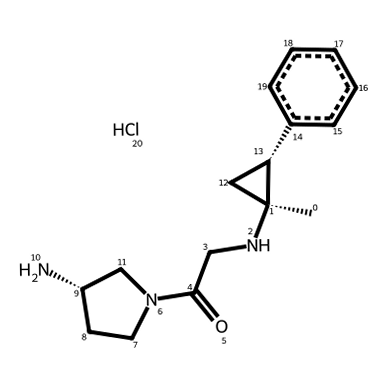 C[C@]1(NCC(=O)N2CC[C@H](N)C2)C[C@@H]1c1ccccc1.Cl